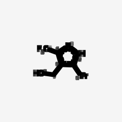 CC(C)c1[nH]nc(C(F)(F)F)c1CO